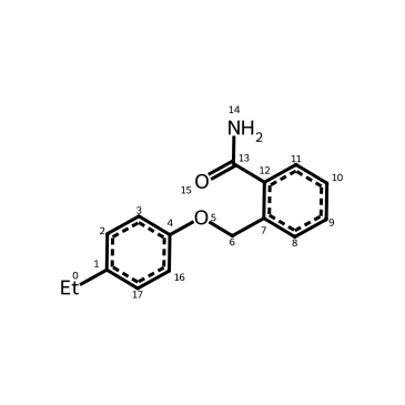 CCc1ccc(OCc2ccccc2C(N)=O)cc1